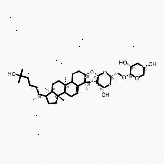 C[C@H](CCCC(C)(C)O)C1CC[C@@]2(C)C3CC=C4C(CC[C@H](O[C@H]5C[C@@H](O)C[C@@H](CO[C@H]6OC[C@@H](O)C[C@H]6O)O5)[C@@]4(C)P)[C@]3(C)CC[C@]12C